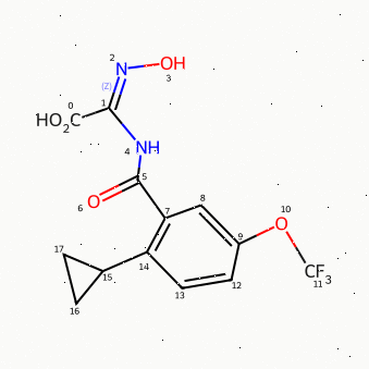 O=C(O)/C(=N/O)NC(=O)c1cc(OC(F)(F)F)ccc1C1CC1